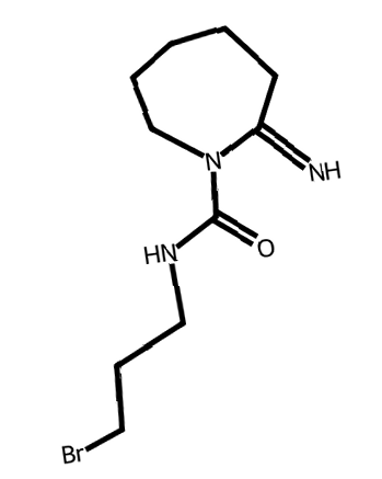 N=C1CCCCCN1C(=O)NCCCBr